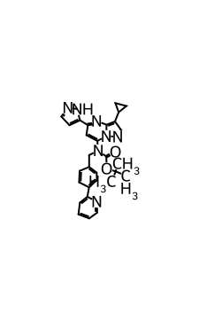 CC(C)(C)OC(=O)N(Cc1ccc(-c2ccccn2)cc1)c1cc(-c2ccn[nH]2)nc2c(C3CC3)cnn12